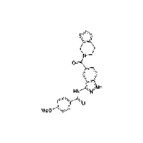 COc1ccc(C(=O)Nc2n[nH]c3ccc(C(=O)N4CCc5ccsc5C4)cc23)cc1